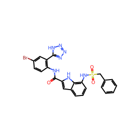 O=C(Nc1ccc(Br)cc1-c1nnn[nH]1)c1cc2cccc(NS(=O)(=O)Cc3ccccc3)c2[nH]1